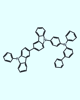 c1ccc(-c2cccc(N(c3ccccc3)c3ccc(-n4c5ccccc5c5cc(-c6ccc7c(c6)c6ccccc6n7-c6ccccc6)ccc54)cc3)c2)cc1